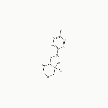 Cc1ccc(SCC2OCCCC2(C)C)cc1